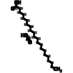 CCCCCCCCCCCCCCCCCCCCCC(=O)O.[O]=[Al][OH]